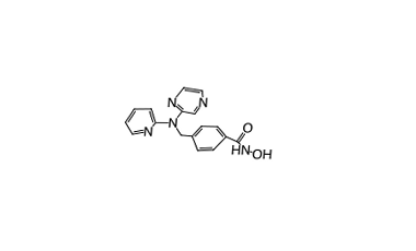 O=C(NO)c1ccc(CN(c2ccccn2)c2cnccn2)cc1